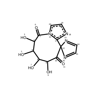 O=C1C(O)C(O)C(O)C(O)C(=O)C2(N=CC=N2)c2nccn21